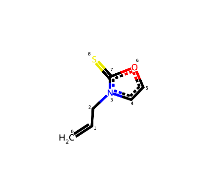 C=CCn1ccoc1=S